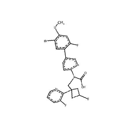 COc1cc(F)c(-c2ccc(N(CC3(c4ncccc4F)CC(F)C3)C(=O)O)nn2)cc1Br